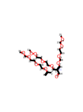 C=C(C[C@H](OCCOCCOOC)/C(C=O)=C\OCOCCOCOC)OCCOCCOCOC